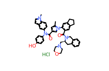 Cc1cc(C(=O)N(c2ccc(O)cc2)c2ccc3c(ccn3C)c2)cn1-c1cc2c(cc1C(=O)N1Cc3ccccc3C[C@H]1CN1CCOCC1)CCC2.Cl